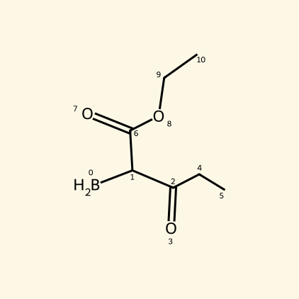 BC(C(=O)CC)C(=O)OCC